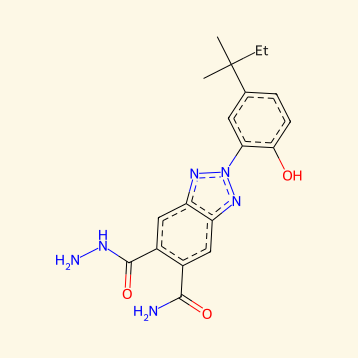 CCC(C)(C)c1ccc(O)c(-n2nc3cc(C(N)=O)c(C(=O)NN)cc3n2)c1